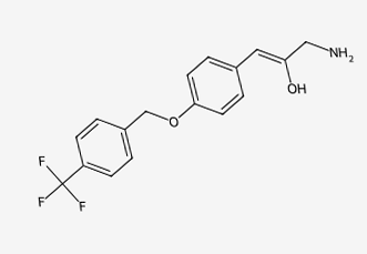 NCC(O)=Cc1ccc(OCc2ccc(C(F)(F)F)cc2)cc1